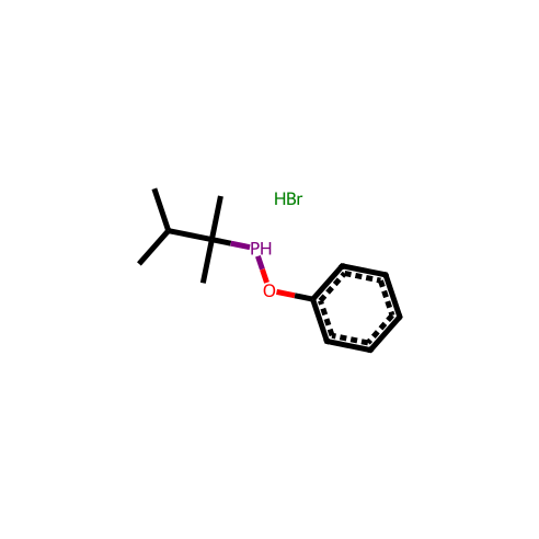 Br.CC(C)C(C)(C)POc1ccccc1